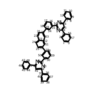 c1ccc(-c2cc(-c3ccccc3)nc(-c3cccc(-c4ccc5ccc(-c6cccc(-c7nc(-c8ccccc8)cc(-c8ccccc8)n7)c6)cc5c4)c3)n2)cc1